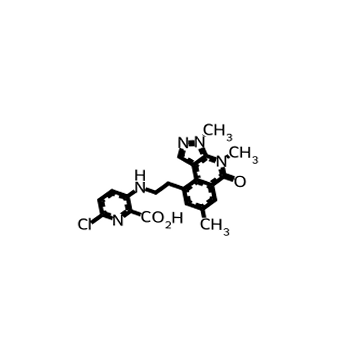 Cc1cc(CCNc2ccc(Cl)nc2C(=O)O)c2c(c1)c(=O)n(C)c1c2cnn1C